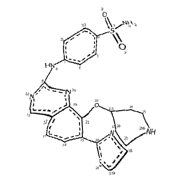 NS(=O)(=O)c1ccc(Nc2ncc3ccc(-c4nccs4)c(OC4CCNCC4)c3n2)cc1